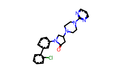 O=C1CC(N2CCN(c3ncccn3)CC2)CN1c1cccc(-c2ccccc2Cl)c1